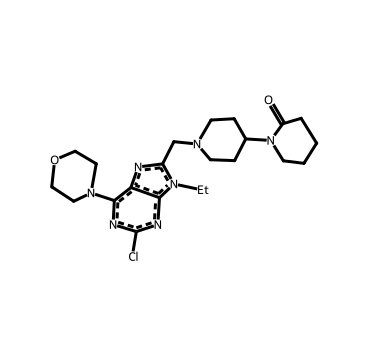 CCn1c(CN2CCC(N3CCCCC3=O)CC2)nc2c(N3CCOCC3)nc(Cl)nc21